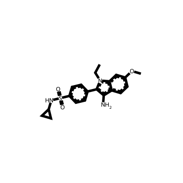 CCn1c(-c2ccc(S(=O)(=O)NC3CC3)cc2)c(N)c2ccc(OC)cc21